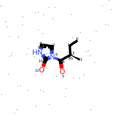 CC[C@@H](C)C(=O)n1cc[nH]c1=O